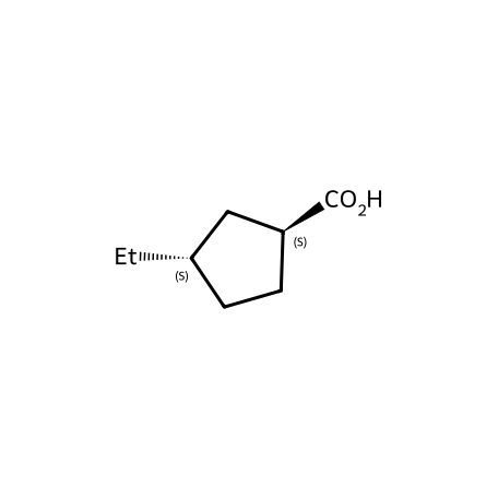 CC[C@H]1CC[C@H](C(=O)O)C1